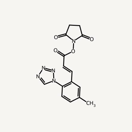 Cc1ccc(-n2cnnn2)c(/C=C/C(=O)ON2C(=O)CCC2=O)c1